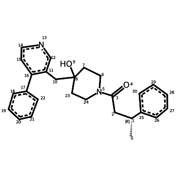 C[C@H](CC(=O)N1CCC(O)(Cc2cnccc2-c2ccccc2)CC1)c1ccccc1